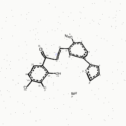 COc1ccc(-c2cccs2)cc1/C=C/C(=O)c1ccc(Cl)c(Cl)c1O.[NaH]